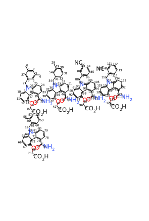 Cc1cc(C)cc(Cn2c3cccc(OCC(=O)O)c3c3c(C(N)=O)cccc32)c1.Cc1cccc(Cn2c3cccc(OCC(=O)O)c3c3c(C(N)=O)cccc32)c1.Cc1ccccc1Cn1c2cccc(OCC(=O)O)c2c2c(C(N)=O)cccc21.N#Cc1cccc(Cn2c3cccc(OCC(=O)O)c3c3c(C(N)=O)cccc32)c1.N#Cc1ccccc1Cn1c2cccc(OCC(=O)O)c2c2c(C(N)=O)cccc21